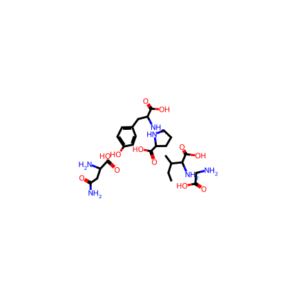 CCC(C)C(N)C(=O)O.NC(=O)CC(N)C(=O)O.NC(Cc1ccc(O)cc1)C(=O)O.NCC(=O)O.O=C(O)C1CCCN1